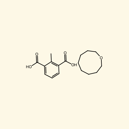 C1CCCCOCCC1.Cc1c(C(=O)O)cccc1C(=O)O